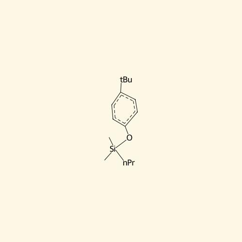 CCC[Si](C)(C)Oc1ccc(C(C)(C)C)cc1